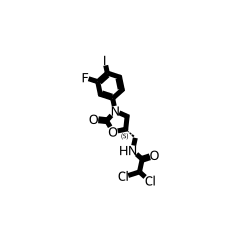 O=C(NC[C@H]1CN(c2ccc(I)c(F)c2)C(=O)O1)C(Cl)Cl